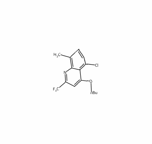 CCCCOc1cc(C(F)(F)F)nc2c(C)ccc(Cl)c12